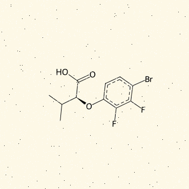 CC(C)[C@H](Oc1ccc(Br)c(F)c1F)C(=O)O